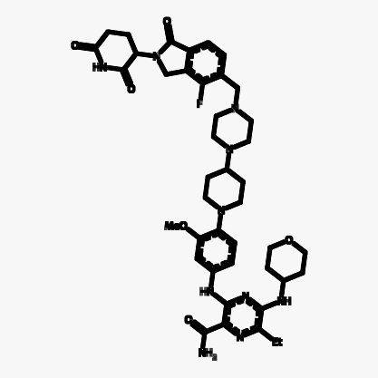 CCc1nc(C(N)=O)c(Nc2ccc(N3CCC(N4CCN(Cc5ccc6c(c5F)CN(C5CCC(=O)NC5=O)C6=O)CC4)CC3)c(OC)c2)nc1NC1CCOCC1